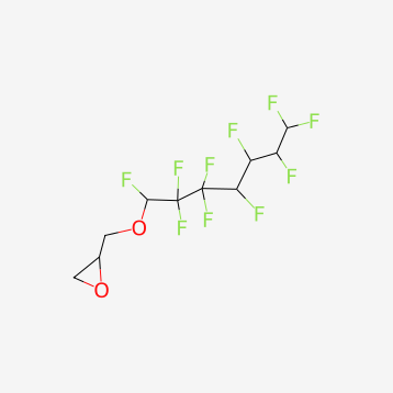 FC(F)C(F)C(F)C(F)C(F)(F)C(F)(F)C(F)OCC1CO1